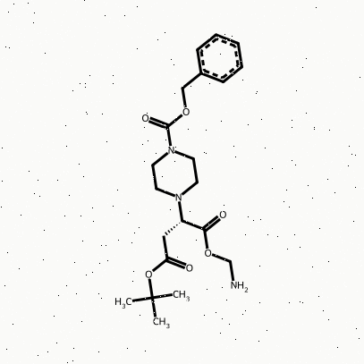 CC(C)(C)OC(=O)C[C@@H](C(=O)OCN)N1CCN(C(=O)OCc2ccccc2)CC1